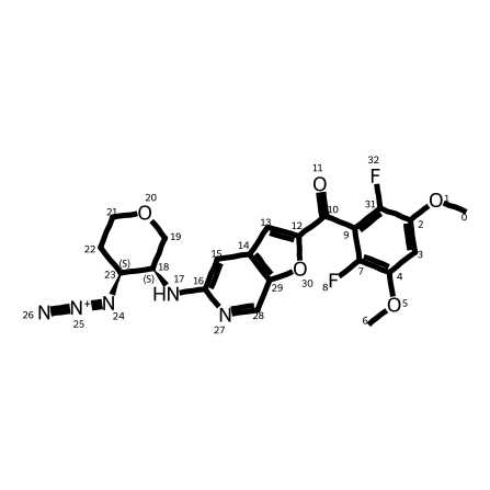 COc1cc(OC)c(F)c(C(=O)c2cc3cc(N[C@@H]4COCC[C@@H]4N=[N+]=[N-])ncc3o2)c1F